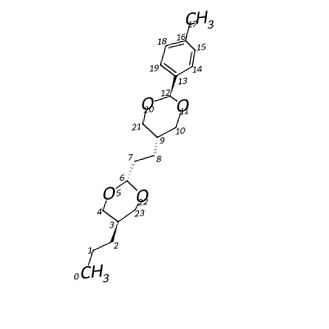 CCC[C@H]1CO[C@H](CC[C@H]2CO[C@H](c3ccc(C)cc3)OC2)OC1